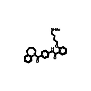 CC(=O)NCCCCOc1ccccc1C(=O)Nc1ccc(C(=O)N2CCCCc3ccccc32)cc1